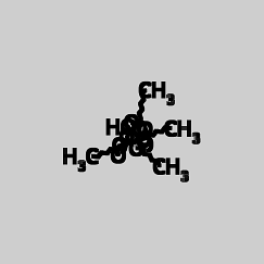 CCCCCCCC(=O)O[C@H]1[C@@H](OC(=O)CCCCC)[C@H](OC(=O)CCCCC)[C@@H](COC(=O)CCCCC)O[C@H]1O